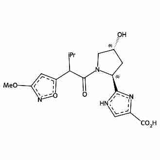 COc1cc(C(C(=O)N2C[C@H](O)C[C@H]2c2nc(C(=O)O)c[nH]2)C(C)C)on1